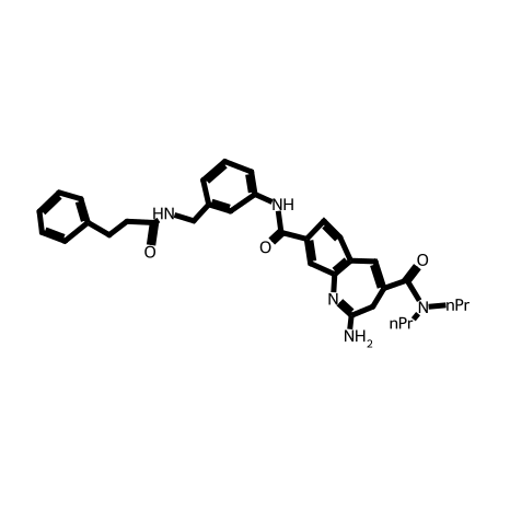 CCCN(CCC)C(=O)C1=Cc2ccc(C(=O)Nc3cccc(CNC(=O)CCc4ccccc4)c3)cc2N=C(N)C1